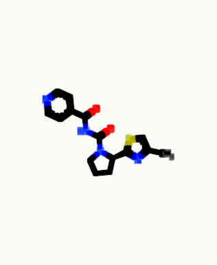 Cc1csc([C@H]2CCCN2C(=O)NC(=O)c2ccncc2)n1